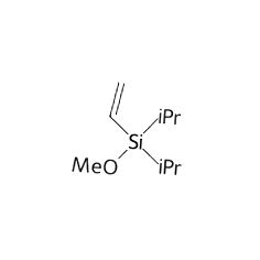 C=C[Si](OC)(C(C)C)C(C)C